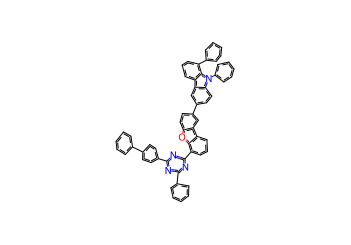 c1ccc(-c2ccc(-c3nc(-c4ccccc4)nc(-c4cccc5c4oc4ccc(-c6ccc7c(c6)c6cccc(-c8ccccc8)c6n7-c6ccccc6)cc45)n3)cc2)cc1